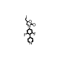 O=C1OC(CI)CN1c1cc(F)c(-c2ccncc2)c(F)c1